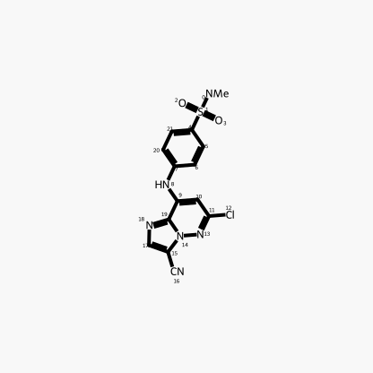 CNS(=O)(=O)c1ccc(Nc2cc(Cl)nn3c(C#N)cnc23)cc1